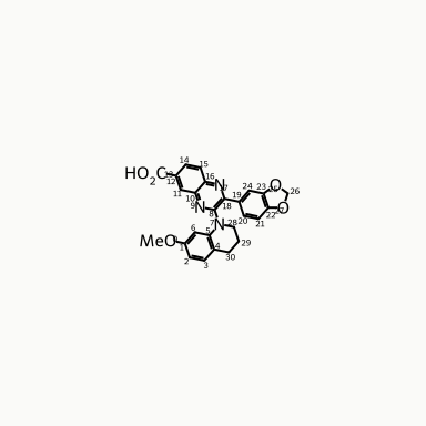 COc1ccc2c(c1)N(c1nc3cc(C(=O)O)ccc3nc1-c1ccc3c(c1)OCO3)CCC2